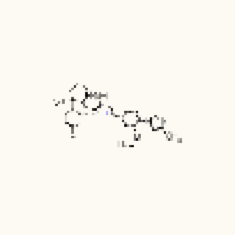 COc1cc(/C=C/C(=O)NN2CCCC(C#N)(c3ccc(F)cc3)C2=O)ccc1-n1cnc(C)c1